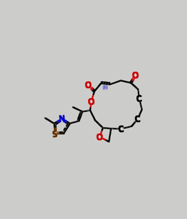 CC(=Cc1csc(C)n1)C1CC2OCC2CCCCCCC(=O)C/C=C/C(=O)O1